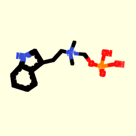 C[N+](C)(CCc1c[nH]c2ccccc12)COP(=O)(O)O